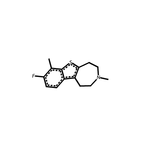 Cc1c(F)ccc2c3c(sc12)CCN(C)CC3